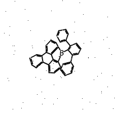 c1ccc(-c2cccc(-c3ccccc3)c2B2c3cccc4c5ccccc5c5cccc2c5c34)cc1